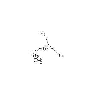 CCCCCCCC[P+](CC)(CCCCCCCC)CCCCCCCC.O=C([O-])c1cccc2[nH]nnc12